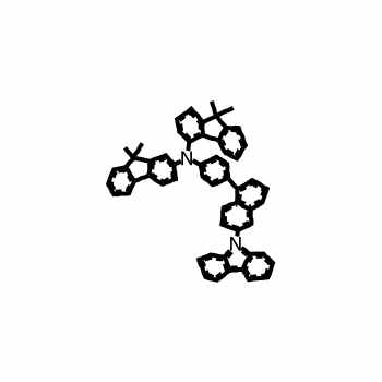 CC1(C)c2ccccc2-c2ccc(N(c3ccc(-c4cccc5cc(-n6c7ccccc7c7ccccc76)ccc45)cc3)c3cccc4c3-c3ccccc3C4(C)C)cc21